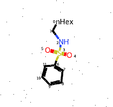 CCCCCCCNS(=O)(=O)c1ccccc1